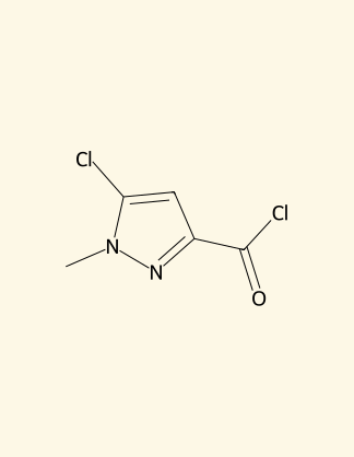 Cn1nc(C(=O)Cl)cc1Cl